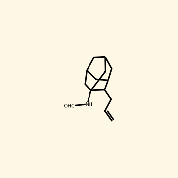 C=CCC1C2CC3CC(C2)CC1(NC=O)C3